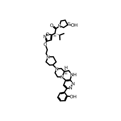 CC(C)[C@@H](C(=O)N1CC[C@@H](O)C1)c1cc(OCCN2CCC(N3CCN4c5cc(-c6ccccc6O)nnc5NC[C@@H]4C3)CC2)no1